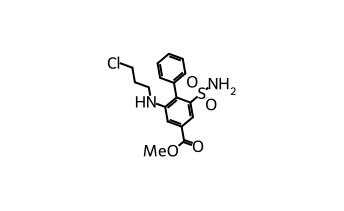 COC(=O)c1cc(NCCCCl)c(-c2ccccc2)c(S(N)(=O)=O)c1